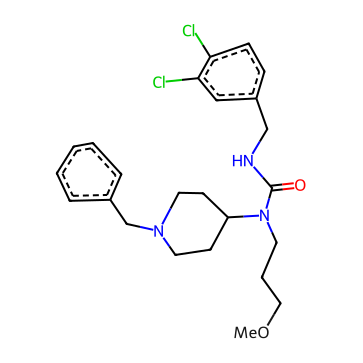 COCCCN(C(=O)NCc1ccc(Cl)c(Cl)c1)C1CCN(Cc2ccccc2)CC1